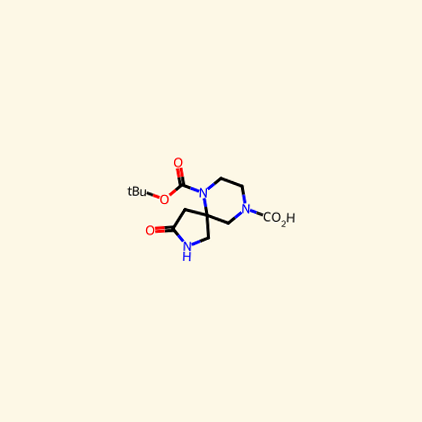 CC(C)(C)OC(=O)N1CCN(C(=O)O)CC12CNC(=O)C2